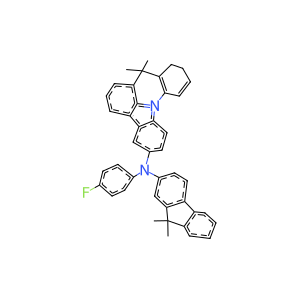 CC1(C)C2=C(C=CCC2)n2c3ccc(N(c4ccc(F)cc4)c4ccc5c(c4)C(C)(C)c4ccccc4-5)cc3c3cccc1c32